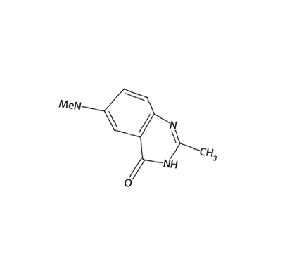 CNc1ccc2nc(C)[nH]c(=O)c2c1